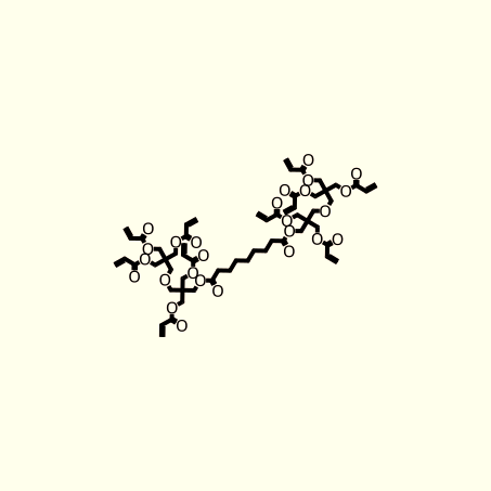 C=CC(=O)OCC(COCC(COC(=O)C=C)(COC(=O)C=C)COC(=O)CCCCCCCC(=O)OCC(COCC(COC(=O)C=C)(COC(=O)C=C)COC(=O)C=C)(COC(=O)C=C)COC(=O)C=C)(COC(=O)C=C)COC(=O)C=C